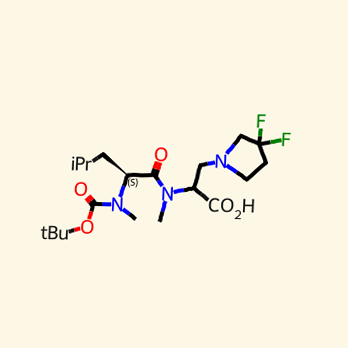 CC(C)C[C@@H](C(=O)N(C)C(CN1CCC(F)(F)C1)C(=O)O)N(C)C(=O)OC(C)(C)C